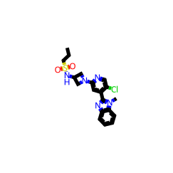 CCCS(=O)(=O)NC1CN(c2cc(-c3nc4ccccc4n3C)c(Cl)cn2)C1